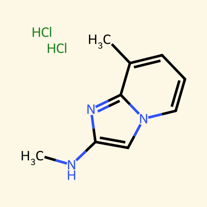 CNc1cn2cccc(C)c2n1.Cl.Cl